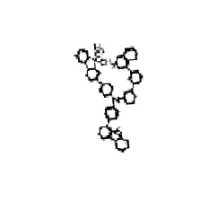 CC1(C)c2ccccc2-c2ccc(-c3ccc(N(c4ccc(-c5cccc6c5sc5ccccc56)cc4)c4cccc(-c5cccc(-c6cccc7ccccc67)c5)c4)cc3)cc21